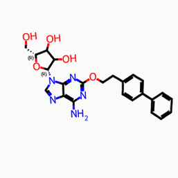 Nc1nc(OCCc2ccc(-c3ccccc3)cc2)nc2c1ncn2[C@@H]1O[C@H](CO)C(O)C1O